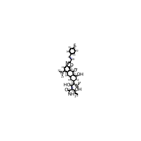 C=C[C@H](O)/C(C(N)=O)=C(/O)[C@H](C1CC(O)=C2C(=O)c3c(c(N(C)C)cc4nc(/C=C/c5ccc(F)cc5)oc34)CC2C1)N(C)C